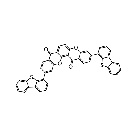 O=c1c2ccc(-c3cccc4c3sc3ccccc34)cc2oc2c1ccc1oc3cc(-c4cccc5c4sc4ccccc45)ccc3c(=O)c12